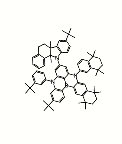 CC(C)(C)c1cccc(N2c3cc(C(C)(C)C)ccc3B3c4cc5c(cc4N(c4ccc6c(c4)C(C)(C)CCC6(C)C)c4cc(N6c7ccc(C(C)(C)C)cc7C7(C)CCc8ccccc8C67C)cc2c43)C(C)(C)CCC5(C)C)c1